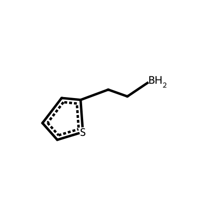 BCCc1cccs1